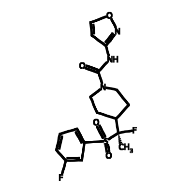 C[C@@](F)(C1CCN(C(=O)Nc2ccon2)CC1)S(=O)(=O)c1cccc(F)c1